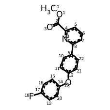 COC(=O)c1cccc(-c2ccc(Oc3ccc(F)cc3)cc2)n1